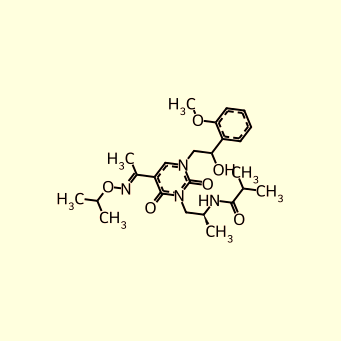 COc1ccccc1C(O)Cn1cc(/C(C)=N/OC(C)C)c(=O)n(C[C@H](C)NC(=O)C(C)C)c1=O